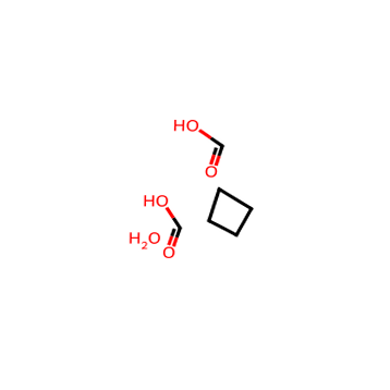 C1CCC1.O.O=CO.O=CO